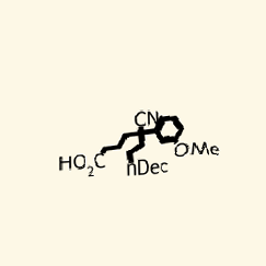 CCCCCCCCCCCCC(C#N)(CCCC(=O)O)c1cccc(OC)c1